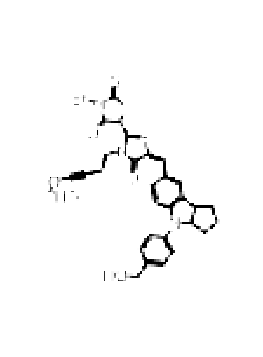 CCN1C(=O)C(C2S/C(=C/c3ccc4c(c3)C3CCCC3N4c3ccc(CO)cc3)C(=O)N2CCC#COC=O)SC1=S